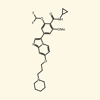 COc1cc(-c2cnc3cc(OCCCN4CCCCC4)ccn23)cc(OC(F)F)c1C(=O)NC1CC1